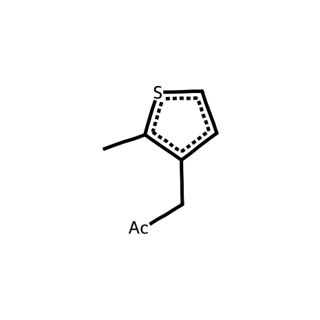 CC(=O)Cc1ccsc1C